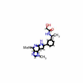 CNc1nc2[nH]c(-c3cccc(C(C)NC(=O)CO)c3)cc2c2c1ncn2C